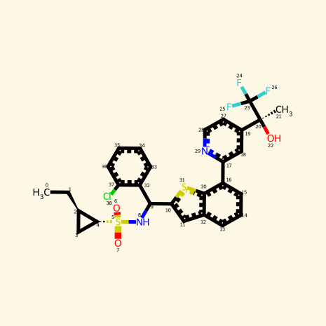 CC[C@@H]1C[C@H]1S(=O)(=O)NC(c1cc2cccc(-c3cc([C@](C)(O)C(F)(F)F)ccn3)c2s1)c1ccccc1Cl